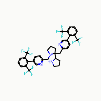 FC(F)(F)c1cccc(C(F)(F)F)c1-c1ccc(CN2CCCC2(Cc2ccc(-c3c(C(F)(F)F)cccc3C(F)(F)F)cn2)C2CCCN2)nc1